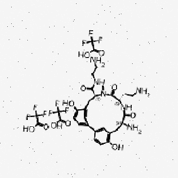 CN1C(=O)[C@H](CCN)NC(=O)[C@@H](N)Cc2cc(ccc2O)-c2ccc(O)c(c2)C[C@H]1C(=O)NCCN.O=C(O)C(F)(F)F.O=C(O)C(F)(F)F.O=C(O)C(F)(F)F